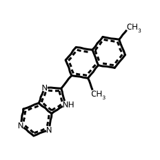 Cc1ccc2c(C)c(-c3nc4cncnc4[nH]3)ccc2c1